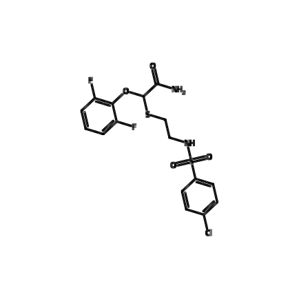 NC(=O)C(Oc1c(F)cccc1F)SCCNS(=O)(=O)c1ccc(Cl)cc1